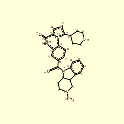 CN1CCC2C(C1)c1ccccc1N2C(=O)c1ccc2c(c1)[nH]c(=O)c1cnc(C3CCOCC3)n12